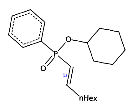 CCCCCC/C=C/P(=O)(OC1CCCCC1)c1ccccc1